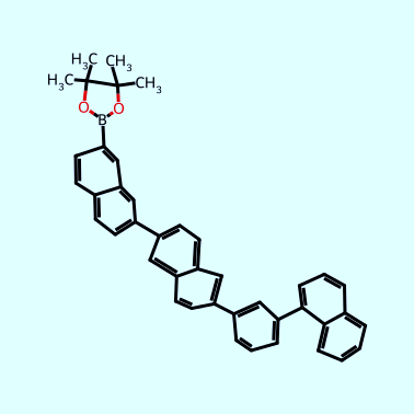 CC1(C)OB(c2ccc3ccc(-c4ccc5cc(-c6cccc(-c7cccc8ccccc78)c6)ccc5c4)cc3c2)OC1(C)C